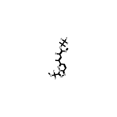 C=N/C(OC(C)(C)C(F)(F)F)=C(F)\C=C(/C)c1ccc2nnc(C(F)(F)OC)n2n1